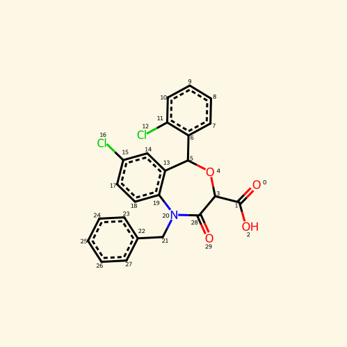 O=C(O)C1OC(c2ccccc2Cl)c2cc(Cl)ccc2N(Cc2ccccc2)C1=O